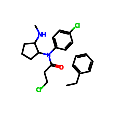 CCc1ccccc1.CNC1CCCC1N(C(=O)CCCl)c1ccc(Cl)cc1